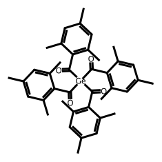 Cc1cc(C)c([C](=O)[Ge]([C](=O)c2c(C)cc(C)cc2C)([C](=O)c2c(C)cc(C)cc2C)[C](=O)c2c(C)cc(C)cc2C)c(C)c1